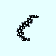 COCC1COc2ccc(CC(=O)Cc3ccc4c(c3)OC(COC)CO4)cc2O1